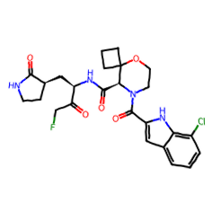 O=C1NCC[C@@H]1C[C@@H](NC(=O)[C@@H]1N(C(=O)c2cc3cccc(Cl)c3[nH]2)CCOC12CCC2)C(=O)CF